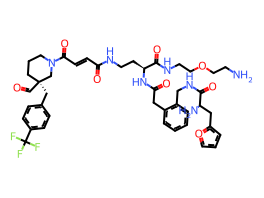 NCCOCCNC(=O)[C@H](CCNC(=O)/C=C/C(=O)N1CCC[C@@](C=O)(Cc2ccc(C(F)(F)F)cc2)C1)NC(=O)Cc1ccccc1CNC(=O)[C@@H](N)Cc1ccco1